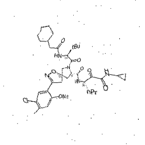 CCC[C@H](NC(=O)[C@@H]1C[C@]2(CC(c3cc(Cl)c(C)cc3OC)=NO2)CN1C(=O)[C@@H](NC(=O)CC1CCCCC1)C(C)(C)C)C(=O)C(=O)NC1CC1